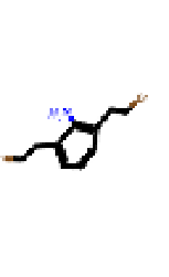 Nc1c(CCBr)cccc1CCBr